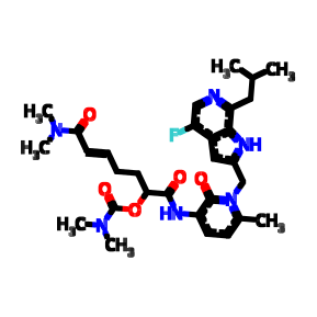 Cc1ccc(NC(=O)C(CC/C=C/C(=O)N(C)C)OC(=O)N(C)C)c(=O)n1Cc1cc2c(F)cnc(CC(C)C)c2[nH]1